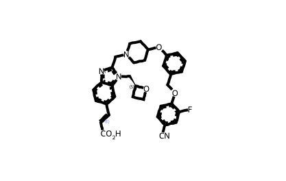 N#Cc1ccc(OCc2cccc(OC3CCN(Cc4nc5ccc(/C=C/C(=O)O)cc5n4C[C@@H]4CCO4)CC3)c2)c(F)c1